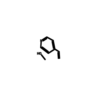 C=Cc1ccncc1.CO